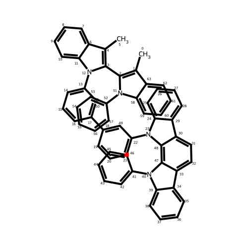 Cc1c(-c2c(C)c3ccccc3n2-c2cccc(-c3cccc(-n4c5ccccc5c5ccc6c7ccccc7n(-c7ccccc7)c6c54)c3)n2)n(-c2ccccc2)c2ccccc12